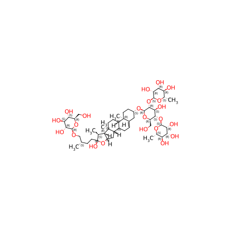 C[C@@H](CC[C@@]1(O)O[C@H]2C[C@H]3[C@@H]4CC=C5C[C@@H](O[C@@H]6O[C@H](CO)[C@@H](O[C@@H]7O[C@@H](C)[C@H](O)[C@@H](O)[C@H]7O)[C@H](O)[C@H]6O[C@@H]6O[C@@H](C)[C@H](O)[C@@H](O)[C@H]6O)CC[C@]5(C)[C@H]4CC[C@]3(C)[C@H]2[C@@H]1C)CO[C@@H]1O[C@H](CO)[C@@H](O)[C@H](O)[C@H]1O